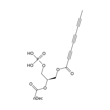 CC#CC#CC#CC(=O)OC[C@H](COP(=O)(O)O)OC(=O)CCCCCCCCCC